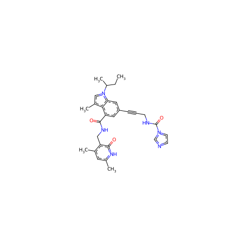 CCC(C)n1cc(C)c2c(C(=O)NCc3c(C)cc(C)[nH]c3=O)cc(C#CCNC(=O)n3ccnc3)cc21